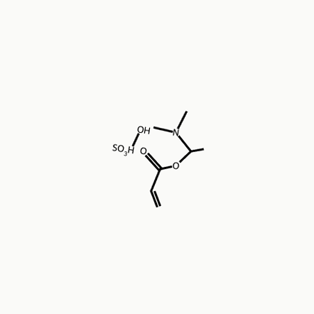 C=CC(=O)OC(C)N(C)C.O=S(=O)(O)O